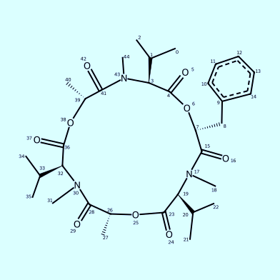 CC(C)[C@H]1C(=O)O[C@H](Cc2ccccc2)C(=O)N(C)[C@@H](C(C)C)C(=O)O[C@H](C)C(=O)N(C)[C@@H](C(C)C)C(=O)O[C@H](C)C(=O)N1C